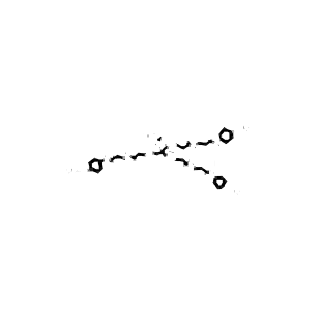 CCCC(=O)NC(COCCC(=O)NCCC(=O)Nc1ccc(OC)cc1)(COCCC(=O)NCCC(=O)Nc1ccc(OC)cc1)COCCC(=O)NCCC(=O)Nc1ccc(OC)cc1